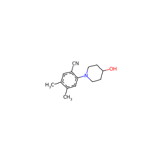 Cc1cc(C#N)c(N2CCC(O)CC2)cc1C